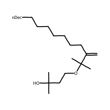 C=C(CCCCCCCCCCCCCCCCC)C(C)(C)OCCC(C)(C)O